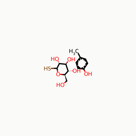 Cc1ccc(O)cc1.OC[C@H]1OC(S)[C@H](O)[C@@H](O)[C@@H]1O